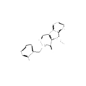 Cn1c2ncccc2c2cnn(Cc3ccccc3F)c(=O)c21